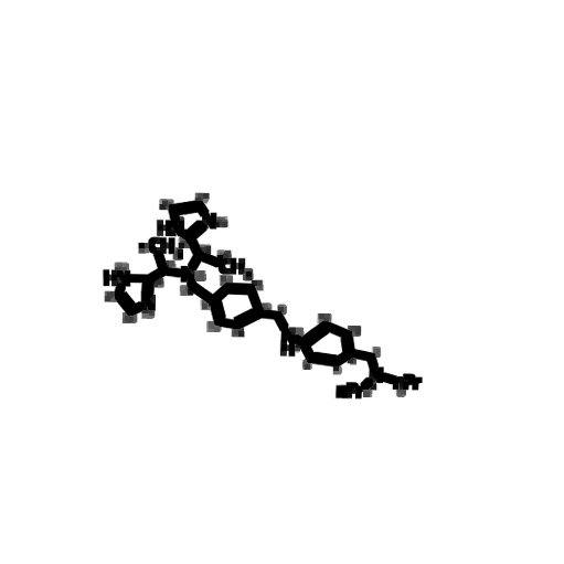 CCCN(CCC)Cc1ccc(NCc2ccc(CN(C(C)c3ncc[nH]3)C(C)c3ncc[nH]3)cc2)cc1